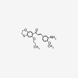 CCCOc1cc2c(cc1C(=O)C=Cc1ccc(OC)c(N)c1)OCCS2